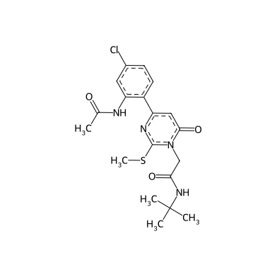 CSc1nc(-c2ccc(Cl)cc2NC(C)=O)cc(=O)n1CC(=O)NC(C)(C)C